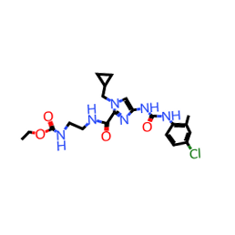 CCOC(=O)NCCNC(=O)c1nc(NC(=O)Nc2ccc(Cl)cc2C)cn1CC1CC1